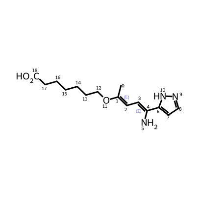 C/C(=C\C=C(/N)c1ccn[nH]1)OCCCCCCC(=O)O